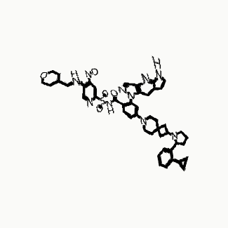 O=Nc1cc(S(=O)(=O)NC(=O)c2ccc(N3CCC4(CC3)CC(N3CCCC3c3ccccc3C3CC3)C4)cc2-n2ncc3nc4[nH]ccc4cc32)ncc1NCC1CCOCC1